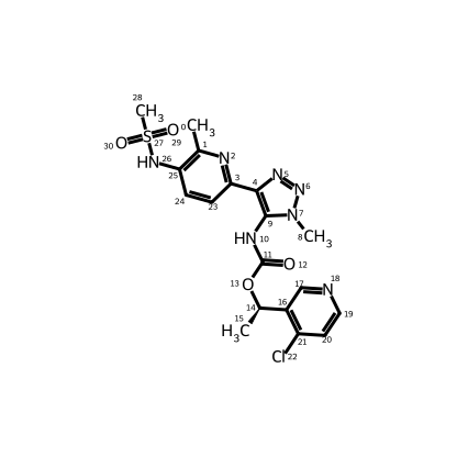 Cc1nc(-c2nnn(C)c2NC(=O)O[C@H](C)c2cnccc2Cl)ccc1NS(C)(=O)=O